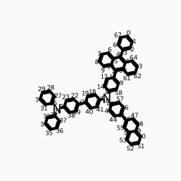 c1ccc(-c2c3ccccc3c(-c3ccc(N(c4ccc(-c5ccc(N(c6ccccc6)c6ccccc6)cc5)cc4)c4ccc(-c5ccc6ccccc6c5)cc4)cc3)c3ccccc23)cc1